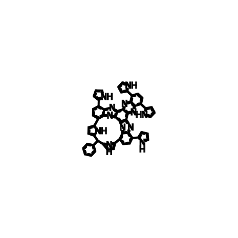 c1ccc(C2c3ccc([nH]3)-c3ccc(-c4ccc[nH]4)c4nc5c6nc7c(-c8ccc[nH]8)ccc(-c8ccc[nH]8)c7nc6c6nc7c(-c8ccc[nH]8)ccc(c7nc6c5nc34)-c3ccc2[nH]3)cc1